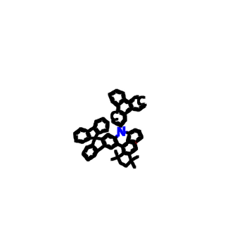 CC1(C)CCC(C)(C)c2c(-c3cc4c(cc3N(c3ccccc3)c3ccc5c6ccccc6c6ccccc6c5c3)C3(c5ccccc5-c5ccccc53)c3ccccc3-4)cccc21